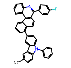 N#Cc1ccc2c(c1)c1cc(-c3cccc4c3ccc3c(-c5ccc(F)cc5)nc5ccccc5c34)ccc1n2-c1ccccc1